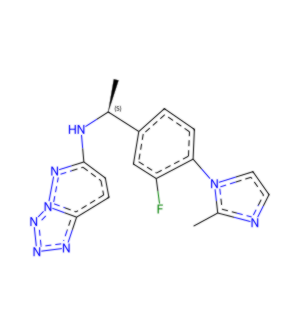 Cc1nccn1-c1ccc([C@H](C)Nc2ccc3nnnn3n2)cc1F